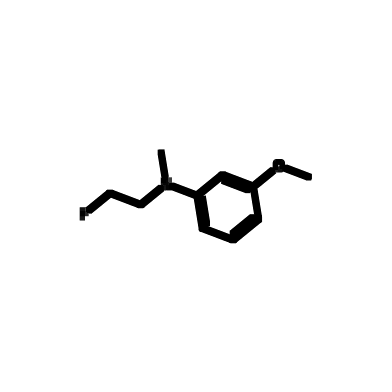 COc1cccc(N(C)CCF)c1